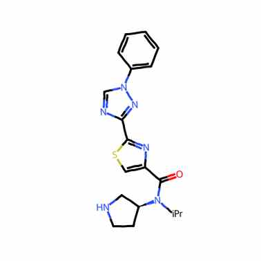 CC(C)N(C(=O)c1csc(-c2ncn(-c3ccccc3)n2)n1)[C@H]1CCNC1